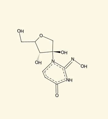 O=c1ccn([C@@]2(O)COC(CO)[C@H]2O)/c(=N/O)[nH]1